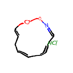 C1=CC=COON=CC=C1.Cl